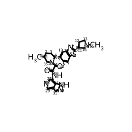 C[C@H]1CC[C@H](c2ccc3sc([C@@H]4CCN(C)C4)nc3c2)N(C(=O)C(=O)Nc2cncc3cn[nH]c23)C1